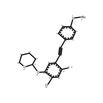 CC(C)(C)Oc1ccc(C#Cc2cc(OC3CCCCO3)c(Cl)cc2F)cc1